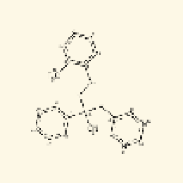 N#CC(CCc1ccccc1C(F)(F)F)(Cc1cncnc1)c1ccccc1